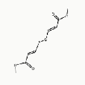 COC(=O)C=CSSC=CC(=O)OC